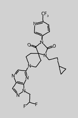 O=C1N(c2ccc(C(F)(F)F)nc2)C(=O)C2(CCN(c3cnc4cnn(CC(F)F)c4n3)CC2)N1CCC1CC1